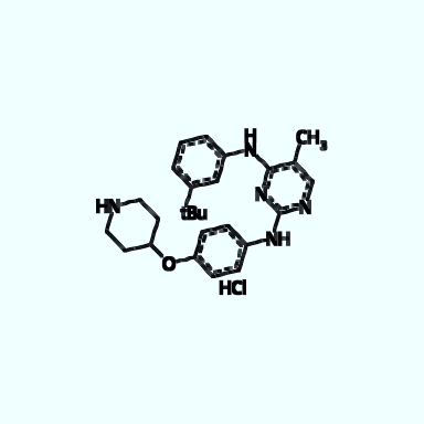 Cc1cnc(Nc2ccc(OC3CCNCC3)cc2)nc1Nc1cccc(C(C)(C)C)c1.Cl